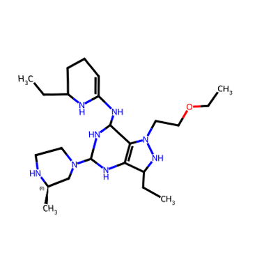 CCOCCN1NC(CC)C2=C1C(NC1=CCCC(CC)N1)NC(N1CCN[C@H](C)C1)N2